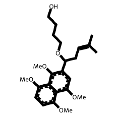 COc1ccc(OC)c2c(OC)c(C(CC=C(C)C)OCCCCO)cc(OC)c12